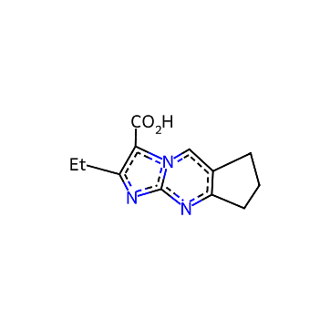 CCc1nc2nc3c(cn2c1C(=O)O)CCC3